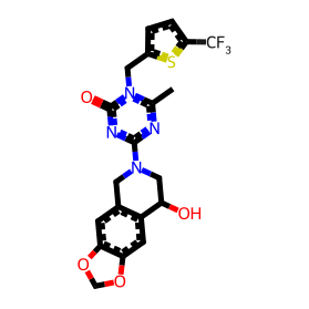 Cc1nc(N2Cc3cc4c(cc3C(O)C2)OCO4)nc(=O)n1Cc1ccc(C(F)(F)F)s1